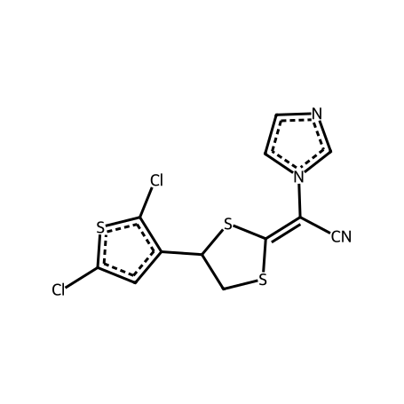 N#CC(=C1SCC(c2cc(Cl)sc2Cl)S1)n1ccnc1